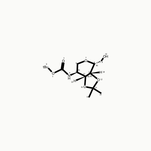 CC(C)(C)OC(=O)N[C@H]1CO[C@H](CO)[C@@H]2OC(C)(C)O[C@@H]21